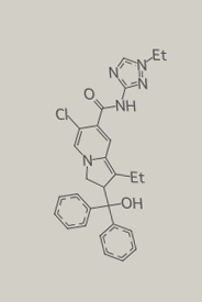 CCC1=C2C=C(C(=O)Nc3ncn(CC)n3)C(Cl)=CN2CC1C(O)(c1ccccc1)c1ccccc1